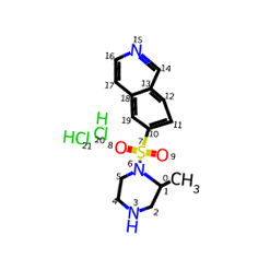 CC1CNCCN1S(=O)(=O)c1ccc2cnccc2c1.Cl.Cl